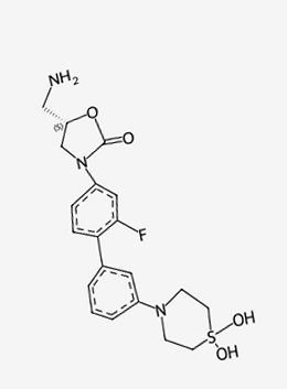 NC[C@H]1CN(c2ccc(-c3cccc(N4CCS(O)(O)CC4)c3)c(F)c2)C(=O)O1